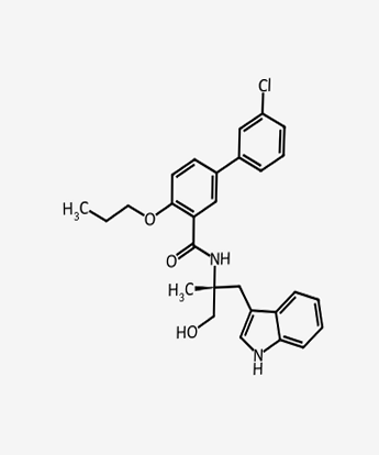 CCCOc1ccc(-c2cccc(Cl)c2)cc1C(=O)N[C@@](C)(CO)Cc1c[nH]c2ccccc12